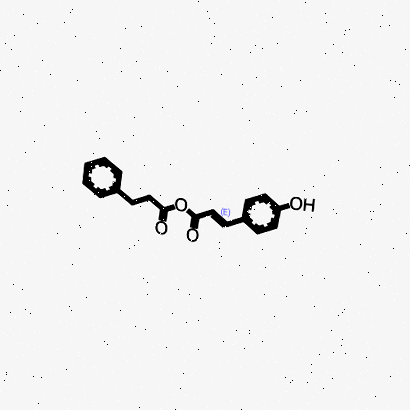 O=C(/C=C/c1ccc(O)cc1)OC(=O)CCc1ccccc1